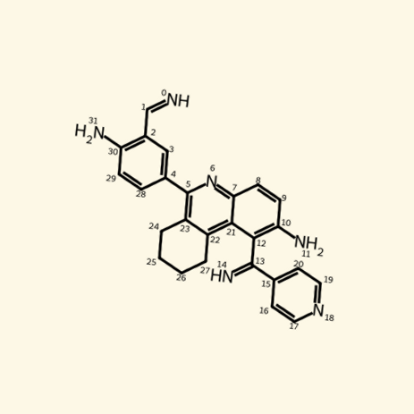 N=Cc1cc(-c2nc3ccc(N)c(C(=N)c4ccncc4)c3c3c2CCCC3)ccc1N